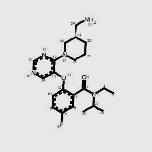 CCN(C(=O)c1cc(F)ccc1Oc1cncnc1N1CCC[C@H](CN)C1)C(C)C